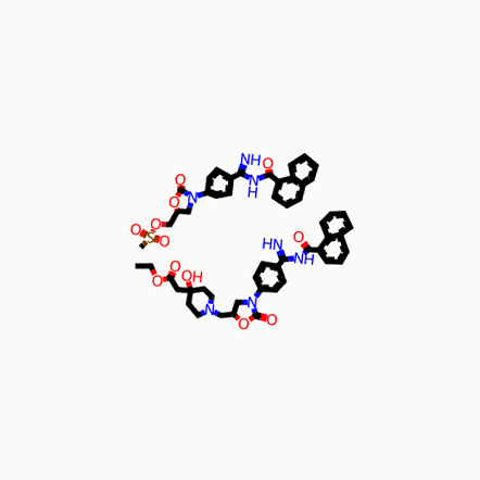 CCOC(=O)CC1(O)CCN(CC2CN(c3ccc(C(=N)NC(=O)c4cccc5ccccc45)cc3)C(=O)O2)CC1.CS(=O)(=O)OCC1CN(c2ccc(C(=N)NC(=O)c3cccc4ccccc34)cc2)C(=O)O1